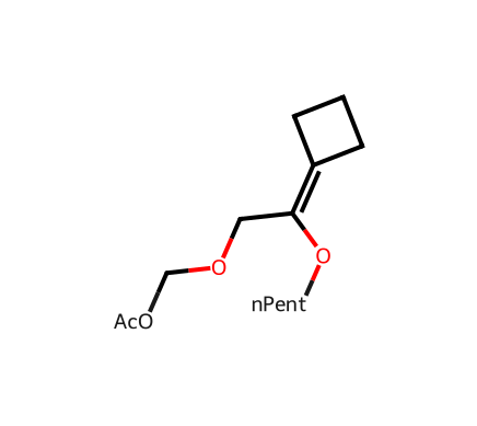 CCCCCOC(COCOC(C)=O)=C1CCC1